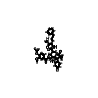 CNC(=O)[C@H](CCCc1ccccc1)NC(=O)C1CN(C(=O)C2(c3c[nH]c4cc(Cl)ccc34)CC2)CC2CN(C(=O)c3ccc(OC(C)C)c(OC)c3)CC21